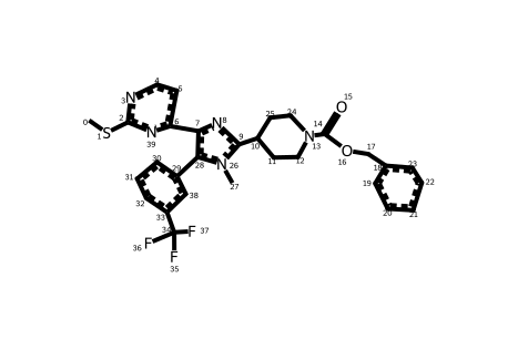 CSc1nccc(-c2nc(C3CCN(C(=O)OCc4ccccc4)CC3)n(C)c2-c2cccc(C(F)(F)F)c2)n1